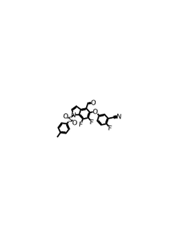 Cc1ccc(S(=O)(=O)n2ccc3c(C=O)c(Oc4ccc(F)c(C#N)c4)c(F)c(F)c32)cc1